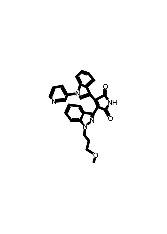 COCCCn1nc(C2=C(c3cn(-c4cccnc4)c4ccccc34)C(=O)NC2=O)c2ccccc21